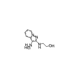 Cl.Nc1c(NCCO)nn2ccccc12